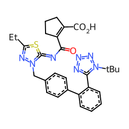 CCc1nn(Cc2ccc(-c3ccccc3-c3nnnn3C(C)(C)C)cc2)c(=NC(=O)C2=C(C(=O)O)CCC2)s1